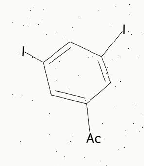 CC(=O)c1cc(I)cc(I)c1